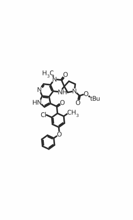 CC1C=C(Oc2ccccc2)C=C(Cl)C1C(=O)c1c[nH]c2ncc3c(c12)NC1(CCN(C(=O)OC(C)(C)C)C1)C(=O)N3C